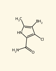 Bc1c(C)[nH]c(C(N)=O)c1Cl